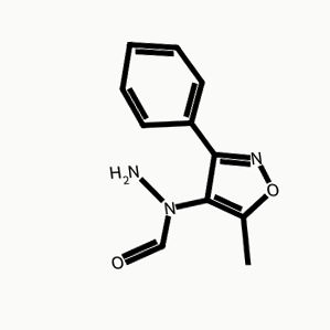 Cc1onc(-c2ccccc2)c1N(N)C=O